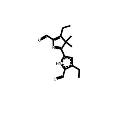 CCC1=C(C=O)N=C(c2cc(CC)c(C=O)[nH]2)C1(C)C